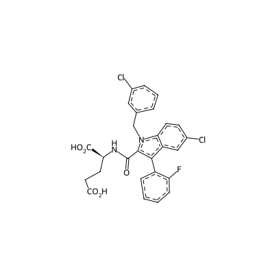 O=C(O)CC[C@H](NC(=O)c1c(-c2ccccc2F)c2cc(Cl)ccc2n1Cc1cccc(Cl)c1)C(=O)O